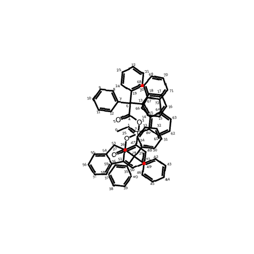 C[CH]=[Ti]([O]C(=O)C(c1ccccc1)(c1ccccc1)c1ccccc1)([O]C(=O)C(c1ccccc1)(c1ccccc1)c1ccccc1)([c]1cccc2c1Cc1ccccc1-2)[c]1cccc2c1Cc1ccccc1-2